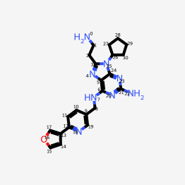 NCCc1nc2c(NCc3ccc(-c4ccoc4)nc3)nc(N)nc2n1C1CCCC1